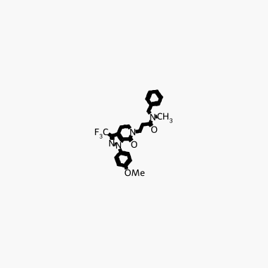 COc1ccc(-n2nc(C(F)(F)F)c3c2C(=O)N(CCC(=O)N(C)Cc2ccccc2)CC3)cc1